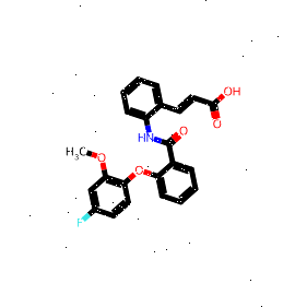 COc1cc(F)ccc1Oc1ccccc1C(=O)Nc1ccccc1/C=C/C(=O)O